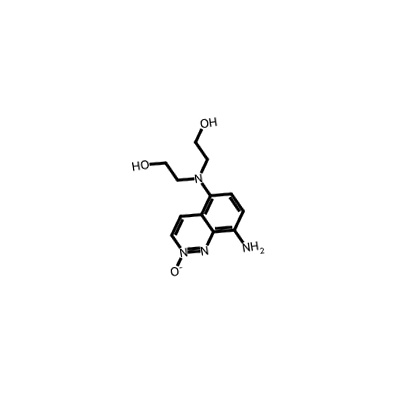 Nc1ccc(N(CCO)CCO)c2cc[n+]([O-])nc12